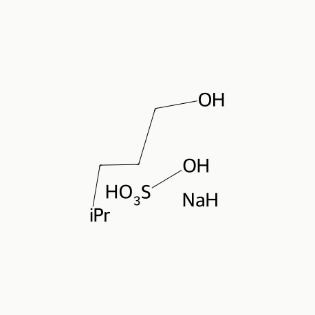 CC(C)CCCO.O=S(=O)(O)O.[NaH]